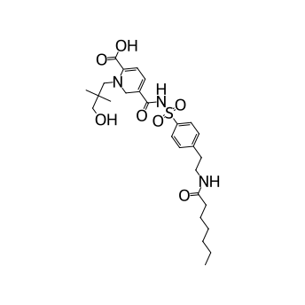 CCCCCCC(=O)NCCc1ccc(S(=O)(=O)NC(=O)C2=CC=C(C(=O)O)N(CC(C)(C)CO)C2)cc1